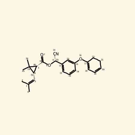 CC(C)=C[C@H]1[C@@H](C(=O)O[C@H](C#N)c2cccc(OC3=CC=CCC3)c2)C1(C)C